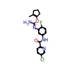 CC1=C(O/C(N)=N\c2cc(NC(=O)c3ccc(Cl)cn3)ccc2F)CCC1